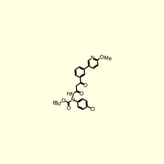 COc1ccc(-c2cccc(C(=O)CC(=O)NN(C(=O)OC(C)(C)C)c3ccc(Cl)cc3)c2)cn1